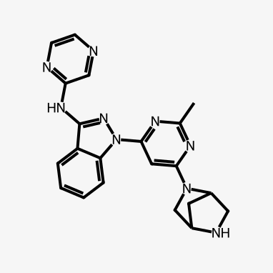 Cc1nc(N2CC3CC2CN3)cc(-n2nc(Nc3cnccn3)c3ccccc32)n1